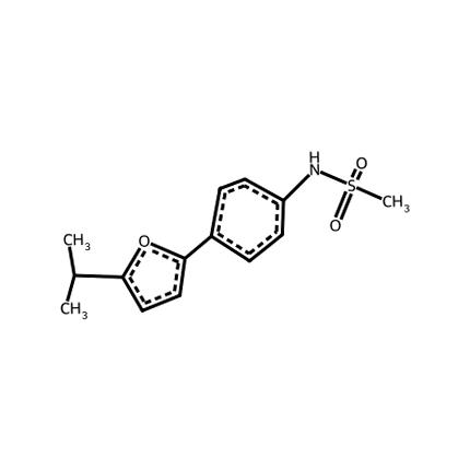 CC(C)c1ccc(-c2ccc(NS(C)(=O)=O)cc2)o1